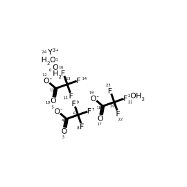 O.O.O.O=C([O-])C(F)(F)F.O=C([O-])C(F)(F)F.O=C([O-])C(F)(F)F.[Y+3]